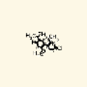 CCc1nc(Cl)ccc1-c1cc(C(C)C)c(F)cc1OC